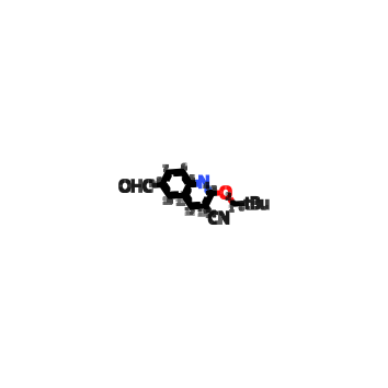 CC(C)(C)COc1nc2ccc(C=O)cc2cc1C#N